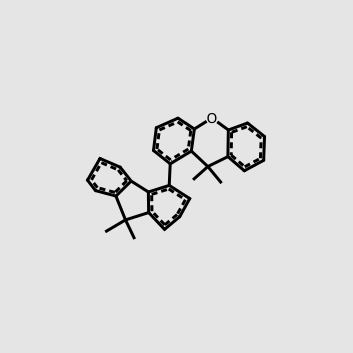 CC1(C)c2ccccc2-c2c(-c3cccc4c3C(C)(C)c3ccccc3O4)cccc21